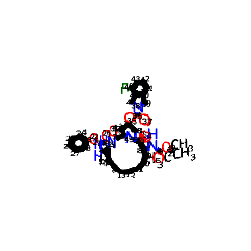 CC(C)(C)OC(=O)N[C@H]1CCCCC/C=C\[C@@H]2C[C@@]2(C(=O)NOc2ccccc2)NC(=O)[C@@H]2C[C@@H](OC(=O)N3Cc4cccc(F)c4C3)CN2C1=O